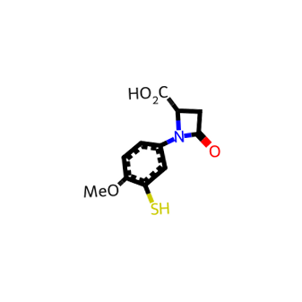 COc1ccc(N2C(=O)CC2C(=O)O)cc1S